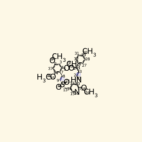 COc1cc(OC)c(/C=C/S(=O)(=O)Cc2cnc(OC)c(N/C=C/C(=O)c3ccc(C)cc3)c2)c(OC)c1